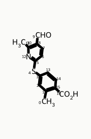 Cc1cc(Sc2ccc(C=O)c(C)n2)ccc1C(=O)O